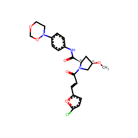 CO[C@@H]1C[C@H](C(=O)Nc2ccc(N3CCOCO3)cc2)N(C(=O)C=Cc2ccc(Cl)o2)C1